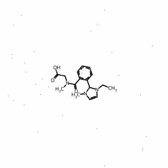 CCN1C=CN(C)C1c1ccccc1C(=O)N(C)CC(=O)O